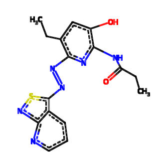 CCC(=O)Nc1nc(/N=N/c2snc3ncccc23)c(CC)cc1O